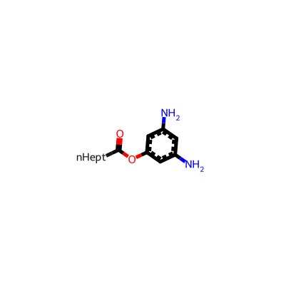 CCCCCCCC(=O)Oc1cc(N)cc(N)c1